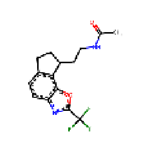 CC(=O)NCCC1CCc2ccc3nc(C(F)(F)F)oc3c21